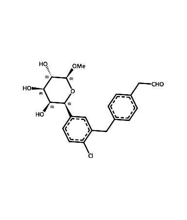 CO[C@H]1O[C@@H](c2ccc(Cl)c(Cc3ccc(CC=O)cc3)c2)[C@@H](O)[C@@H](O)[C@@H]1O